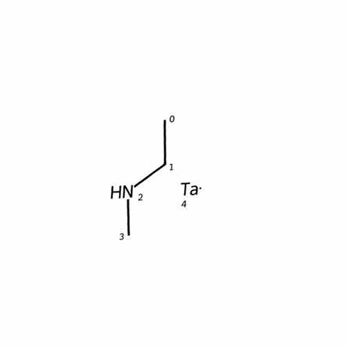 CCNC.[Ta]